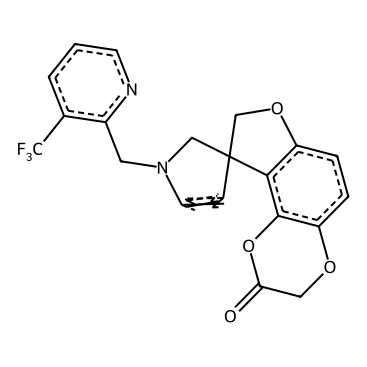 O=C1COc2ccc3c(c2O1)C1(CO3)CN(Cc2ncccc2C(F)(F)F)c2ccccc21